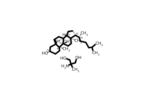 CC(C)CCC[C@@H](C)[C@H]1CC[C@H]2[C@@H]3CC=C4C[C@@H](O)CC[C@]4(C)[C@H]3CC[C@]12C.CC(N)(CO)CO